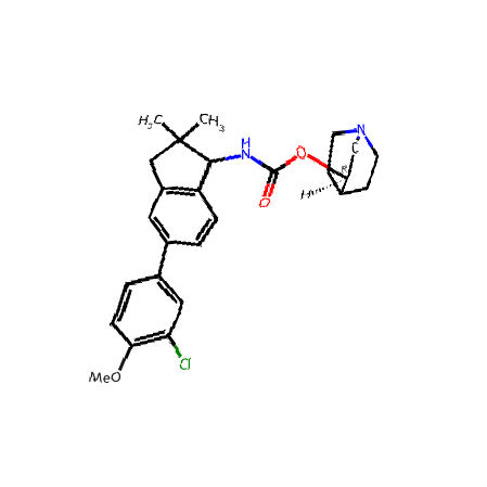 COc1ccc(-c2ccc3c(c2)CC(C)(C)C3NC(=O)O[C@H]2CN3CCC2CC3)cc1Cl